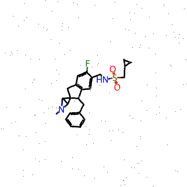 CN1C2C1C21Cc2cc(F)c(CNS(=O)(=O)CC3CC3)cc2C1Cc1ccccc1